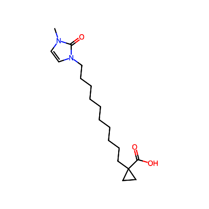 Cn1ccn(CCCCCCCCCCC2(C(=O)O)CC2)c1=O